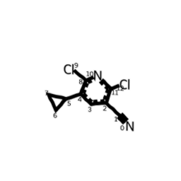 N#Cc1cc(C2CC2)c(Cl)nc1Cl